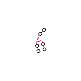 c1ccc(-c2ccc(Oc3cc(Oc4ccc(-c5ccccc5)cc4)nc(Oc4ccc(-c5ccccc5)cc4)n3)cc2)cc1